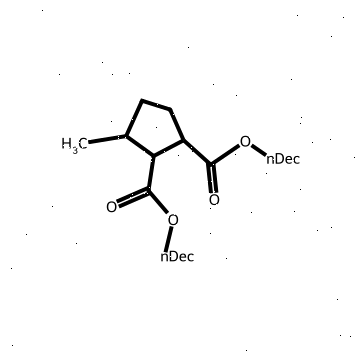 CCCCCCCCCCOC(=O)C1CCC(C)C1C(=O)OCCCCCCCCCC